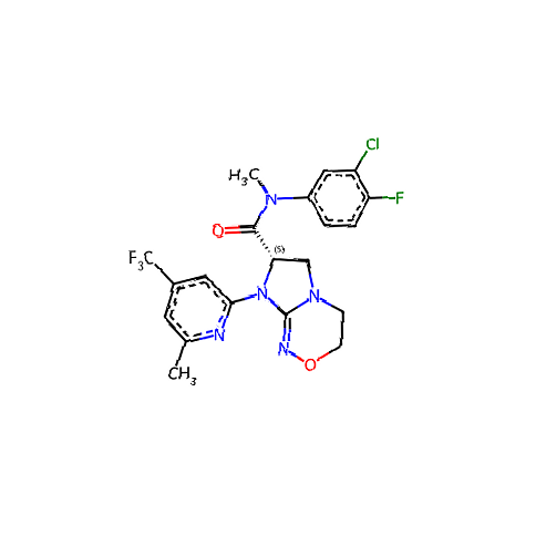 Cc1cc(C(F)(F)F)cc(N2C3=NOCCN3C[C@H]2C(=O)N(C)c2ccc(F)c(Cl)c2)n1